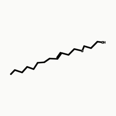 CCCCCCCCC=CCCOCCCO